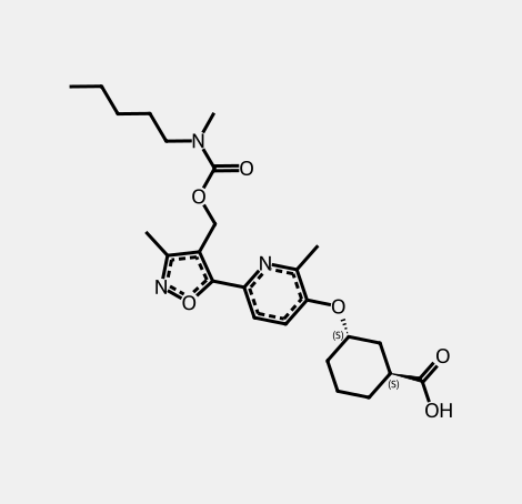 CCCCCN(C)C(=O)OCc1c(C)noc1-c1ccc(O[C@H]2CCC[C@H](C(=O)O)C2)c(C)n1